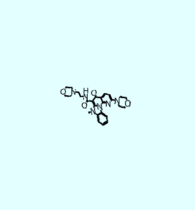 Cn1c2ccccc2n2c3nc(N4CCOCC4)ccc3c(=O)c(C(=O)NCCN3CCOCC3)c12